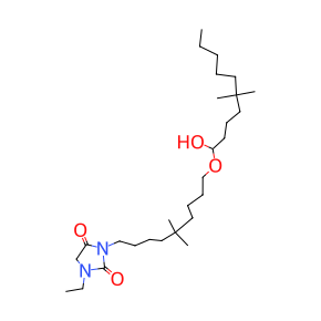 CCCCCC(C)(C)CCCC(O)OCCCCC(C)(C)CCCCN1C(=O)CN(CC)C1=O